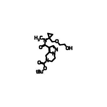 CN(C(=O)c1cnn2c1CN(C(=O)OC(C)(C)C)CC2)C1(COCCO)CC1